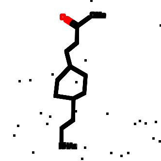 COC(=O)CCC1CCC(CCNC(C)=O)CC1